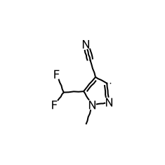 Cn1n[c]c(C#N)c1C(F)F